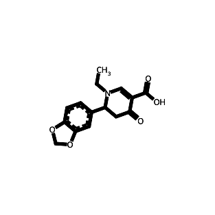 CCN1C=C(C(=O)O)C(=O)CC1c1ccc2c(c1)OCO2